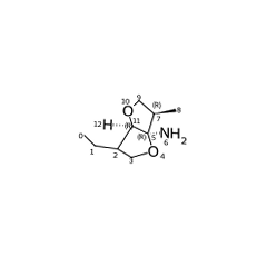 CCC1CO[C@]2(N)[C@H](C)CO[C@H]12